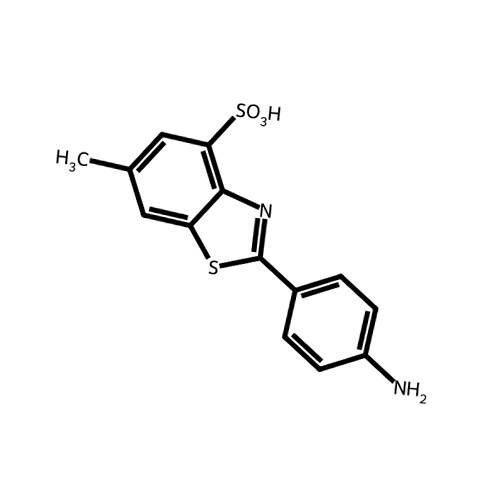 Cc1cc(S(=O)(=O)O)c2nc(-c3ccc(N)cc3)sc2c1